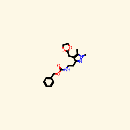 Cc1c(CC2OCCO2)c(CCNC(=O)OCc2ccccc2)nn1C